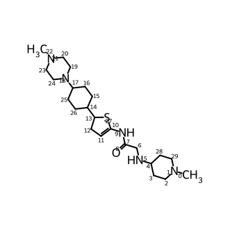 CN1CCC(NCC(=O)NC2=CCC(C3CCC(N4CCN(C)CC4)CC3)S2)CC1